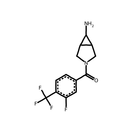 NC1C2CN(C(=O)c3ccc(C(F)(F)F)c(F)c3)CC12